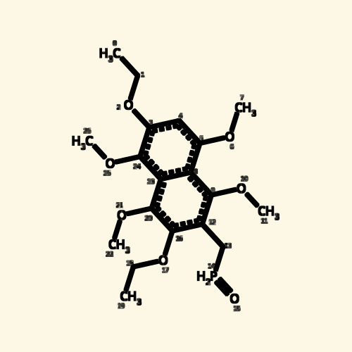 CCOc1cc(OC)c2c(OC)c(C[PH2]=O)c(OCC)c(OC)c2c1OC